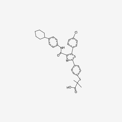 CC(C)(Sc1ccc(-c2nc(C(=O)Nc3ccc(C4CCCCC4)cc3)c(-c3ccc(Cl)cc3)s2)cc1)C(=O)O